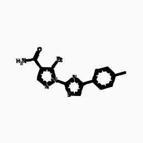 CCc1c(C(N)=O)cnn1-c1nc(-c2ccc(C)cc2)cs1